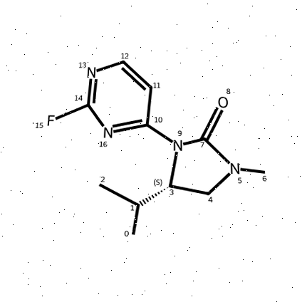 CC(C)[C@H]1CN(C)C(=O)N1c1ccnc(F)n1